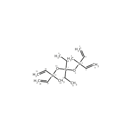 C=C[Si](C)(C=C)O[Si](CC)(CC)O[Si](C)(C=C)C=C